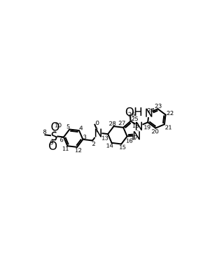 CN(Cc1ccc(S(C)(=O)=O)cc1)C1CCc2nn(-c3ccccn3)c(O)c2C1